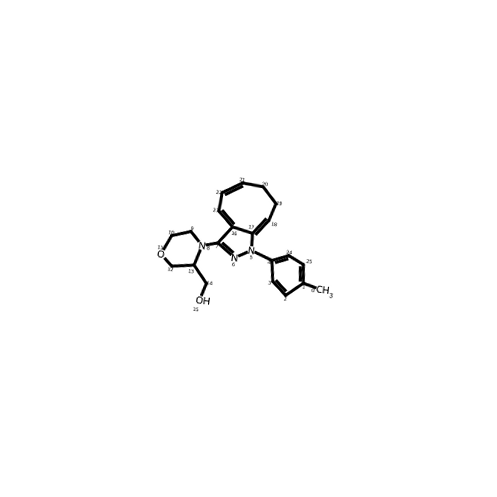 Cc1ccc(-n2nc(N3CCOCC3CO)c3/c2=C\CC/C=C\C=3)cc1